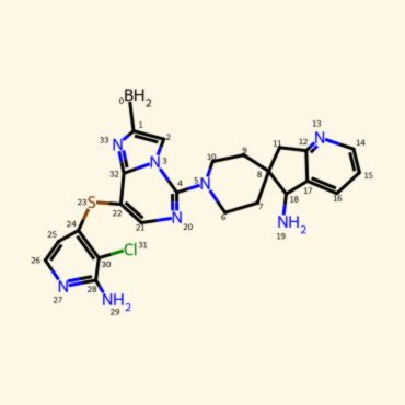 Bc1cn2c(N3CCC4(CC3)Cc3ncccc3C4N)ncc(Sc3ccnc(N)c3Cl)c2n1